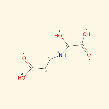 O=C(O)CCNC(O)C(=O)O